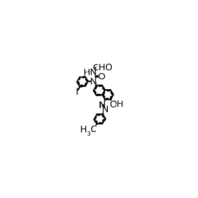 Cc1ccc(N=Nc2c(O)ccc3cc(N(C(=O)NC=O)c4cccc(I)c4)ccc23)cc1